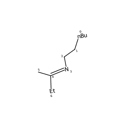 CCCCCCN=C(C)CC